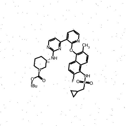 Cc1ccc2c(NS(=O)(=O)CC3CC3)c(F)ccc2c1Oc1ncccc1-c1ccnc(N[C@H]2CCCN(C(=O)OC(C)(C)C)C2)n1